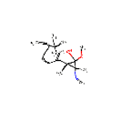 C=NC1(C)C(O)(OC)C1(C)C(=C)/C=C\C(=C)C(C)(C)C